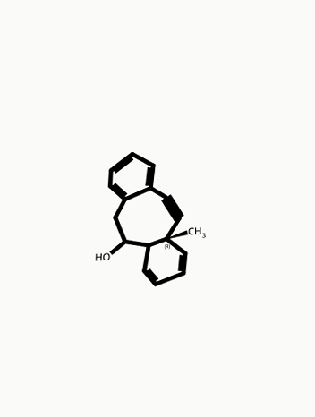 C[C@]12C#Cc3ccccc3CC(O)C1C=CC=C2